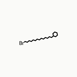 BrCCCCCCCCCCCCCCC1CCCCC1